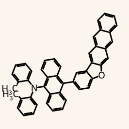 Cc1ccccc1N(c1ccccc1C)c1c2ccccc2c(-c2ccc3oc4cc5cc6ccccc6cc5cc4c3c2)c2ccccc12